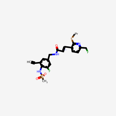 C#Cc1cc(CNC(=O)/C=C/c2ccc(CF)nc2SC(C)C)cc(F)c1NS(C)(=O)=O